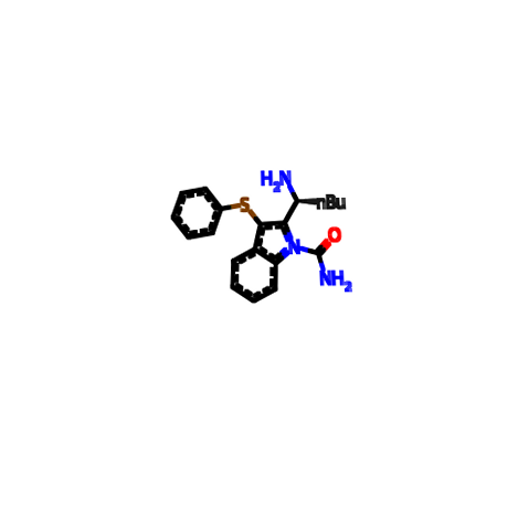 CCCC[C@H](N)c1c(Sc2ccccc2)c2ccccc2n1C(N)=O